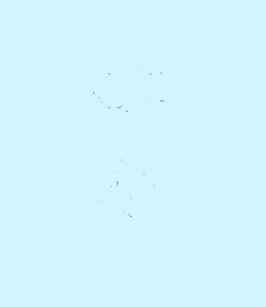 OCc1cc2cc(C(O)CC3c4ccccc4-c4cncn43)c(F)cc2o1